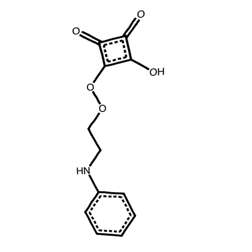 O=c1c(O)c(OOCCNc2ccccc2)c1=O